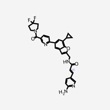 Nc1ccc(/C=C/C(=O)NCc2cc3cc(-c4ccc(C(=O)N5CCC(F)(F)CC5)cn4)cc(C4CC4)c3o2)cn1